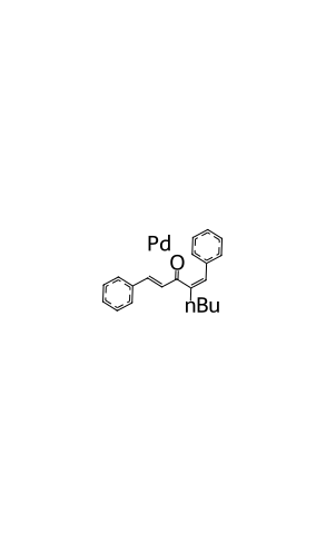 CCCCC(=Cc1ccccc1)C(=O)C=Cc1ccccc1.[Pd]